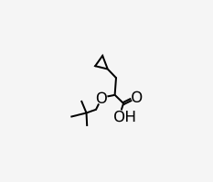 CC(C)(C)COC(CC1CC1)C(=O)O